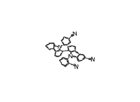 N#Cc1ccc(-n2c3ccccc3c3cccc(-c4cccc5c6cc(C#N)ccc6n(-c6ccccc6C#N)c45)c32)cc1